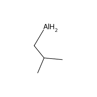 CC(C)[CH2][AlH2]